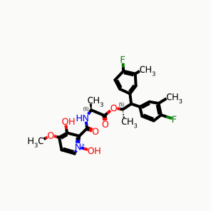 COc1cc[n+](O)c(C(=O)N[C@@H](C)C(=O)O[C@@H](C)C(c2ccc(F)c(C)c2)c2ccc(F)c(C)c2)c1O